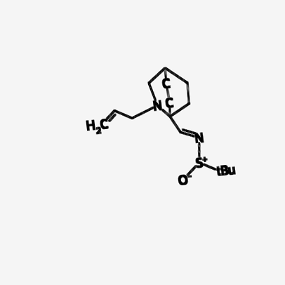 C=CCN1CC2CCC1(/C=N/[S+]([O-])C(C)(C)C)CC2